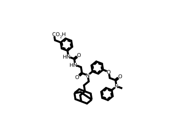 CN(C(=O)COc1cccc(N(CCC23CC4CC(CC(C4)C2)C3)C(=O)CNC(=O)Nc2cccc(CC(=O)O)c2)c1)c1ccccc1